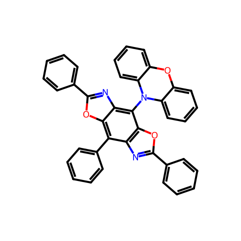 c1ccc(-c2nc3c(N4c5ccccc5Oc5ccccc54)c4oc(-c5ccccc5)nc4c(-c4ccccc4)c3o2)cc1